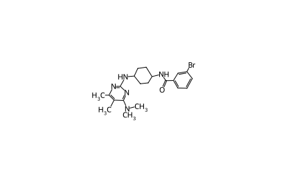 Cc1nc(NC2CCC(NC(=O)c3cccc(Br)c3)CC2)nc(N(C)C)c1C